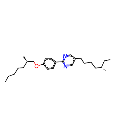 CCCCC[C@@H](C)COc1ccc(-c2ncc(CCCC[C@@H](C)CC)cn2)cc1